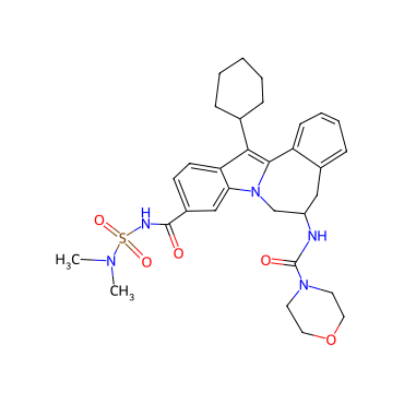 CN(C)S(=O)(=O)NC(=O)c1ccc2c(C3CCCCC3)c3n(c2c1)CC(NC(=O)N1CCOCC1)Cc1ccccc1-3